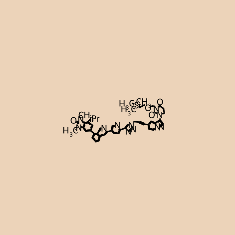 CC(C)c1cc(-c2cccc3cc(-c4ccc(-c5cn(CC#Cc6ccn7ncc(N8CCC(=O)N(COCC[Si](C)(C)C)C8=O)c7c6)nn5)nc4)ncc23)cc2c1n(C)c(=O)n2C